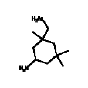 CC1(C)CC(N)CC(C)(C[AsH2])C1